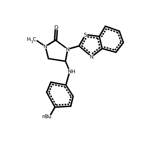 CCCCc1ccc(NC2CN(C)C(=O)N2c2nc3ccccc3s2)cc1